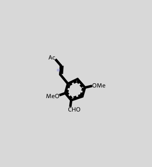 COc1cc(C=O)c(OC)c(/C=C/C(C)=O)c1